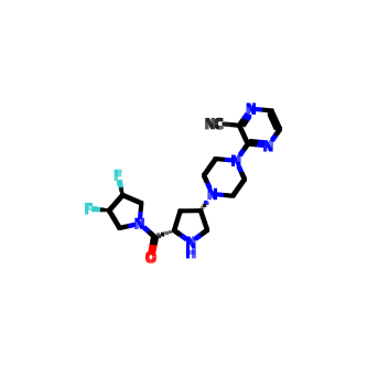 N#Cc1nccnc1N1CCN([C@@H]2CN[C@H](C(=O)N3C[C@@H](F)[C@@H](F)C3)C2)CC1